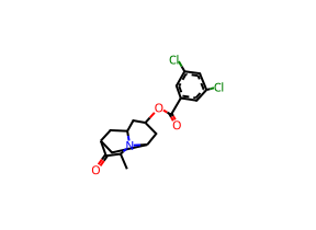 CC1C(=O)C2CC3CC(OC(=O)c4cc(Cl)cc(Cl)c4)CC(C2)N31